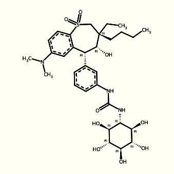 CCCC[C@]1(CC)CS(=O)(=O)c2ccc(N(C)C)cc2[C@@H](c2cccc(NC(=O)N[C@H]3[C@H](O)[C@@H](O)[C@H](O)[C@@H](O)[C@@H]3O)c2)[C@H]1O